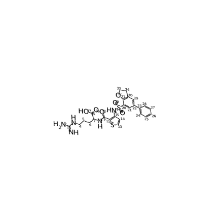 N=C(N)NCCCC(NC(=O)c1sccc1NS(=O)(=O)c1cc(-c2ccccc2)cc2c1OCC2)C(=O)O